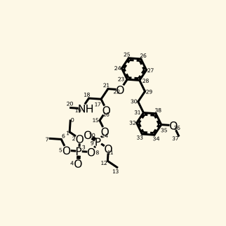 CCOP(=O)(OCC)OP(=O)(OCC)OCOC(CNC)COc1ccccc1CCc1cccc(OC)c1